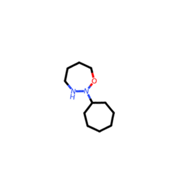 C1CCCC(N2NCCCCO2)CC1